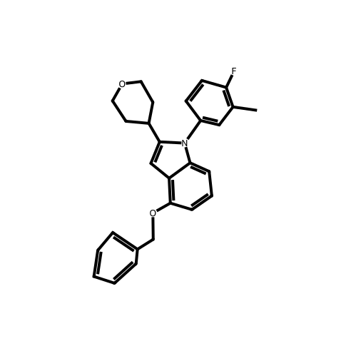 Cc1cc(-n2c(C3CCOCC3)cc3c(OCc4ccccc4)cccc32)ccc1F